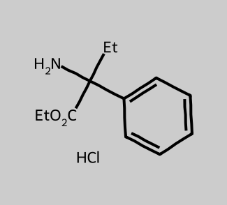 CCOC(=O)C(N)(CC)c1ccccc1.Cl